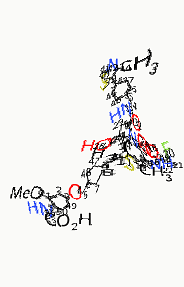 COc1cc(OCC2CCC(CSC(C)(C)[C@@H](NC(=O)C3(F)CC3)C(=O)N3C[C@H](O)C[C@H]3C(=O)NCc3ccc(-c4scnc4C)cc3)CC2)ccc1NC(=O)O